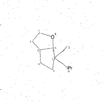 CC(C)C1(C)CCC2CCOC21